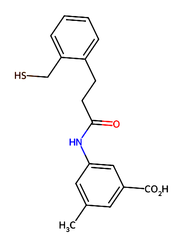 Cc1cc(NC(=O)CCc2ccccc2CS)cc(C(=O)O)c1